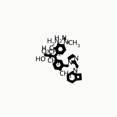 Cc1ccc(C(c2ccc(N(C)N)c(N)c2C)C(C)(C)C(=O)O)cc1Cn1ccnc1CN1C2CCCC3CCC321